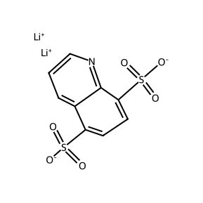 O=S(=O)([O-])c1ccc(S(=O)(=O)[O-])c2ncccc12.[Li+].[Li+]